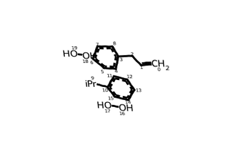 C=CCc1ccccc1.CC(C)c1ccccc1.OO.OO